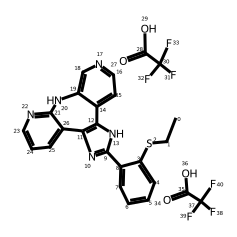 CCSc1ccccc1-c1nc2c([nH]1)-c1ccncc1Nc1ncccc1-2.O=C(O)C(F)(F)F.O=C(O)C(F)(F)F